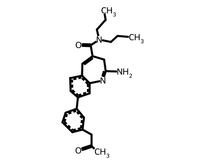 CCCN(CCC)C(=O)C1=Cc2ccc(-c3cccc(CC(C)=O)c3)cc2N=C(N)C1